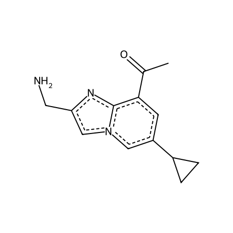 CC(=O)c1cc(C2CC2)cn2cc(CN)nc12